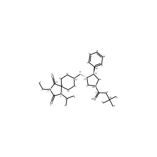 CCN1C(=O)N(C(C)C)C2(CCN(C[C@H]3CN(C(=O)CC(C)(C)C)C[C@@H]3c3ccccc3)CC2)C1=O